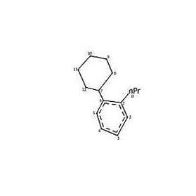 [CH2]CCc1ccccc1C1CCCCC1